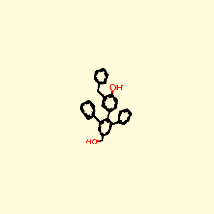 OCc1cc(-c2ccccc2)c(-c2ccc(O)c(Cc3ccccc3)c2)c(-c2ccccc2)c1